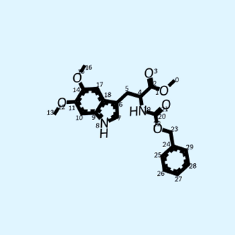 COC(=O)C(Cc1c[nH]c2cc(OC)c(OC)cc12)NC(=O)OCc1ccccc1